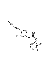 CC#CC#Cc1ccc(C2Cc3ccc(C)c(F)c3OC2=O)cc1F